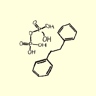 O=P(O)(O)OP(=O)(O)O.c1ccc(CCc2ccccc2)cc1